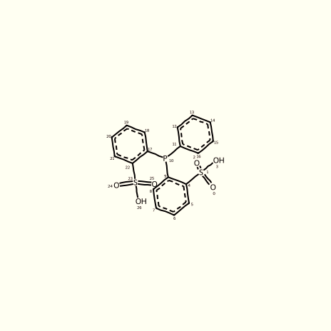 O=S(=O)(O)c1ccccc1P(c1ccccc1)c1ccccc1S(=O)(=O)O